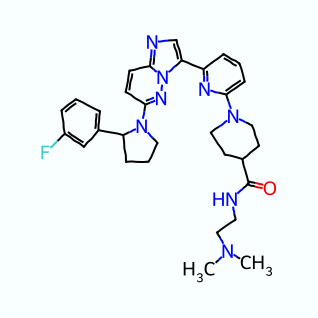 CN(C)CCNC(=O)C1CCN(c2cccc(-c3cnc4ccc(N5CCCC5c5cccc(F)c5)nn34)n2)CC1